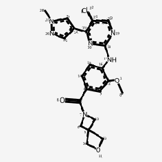 COc1cc(C(=O)N2CC3(COC3)C2)ccc1Nc1ncc(Cl)c(-c2cnn(C)c2)n1